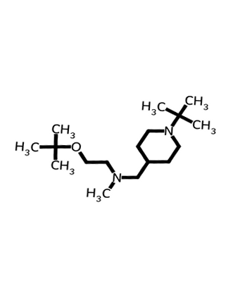 CN(CCOC(C)(C)C)CC1CCN(C(C)(C)C)CC1